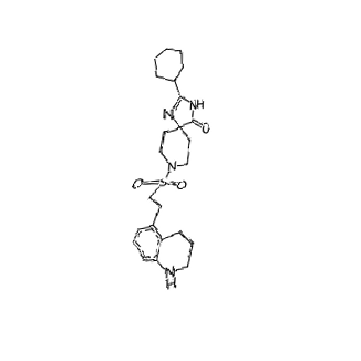 O=C1NC(C2CCCCC2)=NC12CCN(S(=O)(=O)CCc1cccc3c1CCCN3)CC2